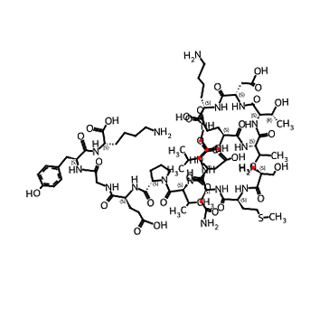 CSCC[C@H](NC(=O)[C@@H](N)CO)C(=O)N[C@@H](CC(N)=O)C(=O)N[C@H](C(=O)N[C@@H](CCC(=O)O)C(=O)N[C@H](C(=O)N[C@H](C(=O)N[C@@H](CC(=O)O)C(=O)N[C@@H](CCCCN)C(=O)NCC(=O)N[C@@H](CC(=O)O)C(=O)N[C@H](C(=O)N1CCC[C@H]1C(=O)N[C@@H](CCC(=O)O)C(=O)NCC(=O)N[C@@H](Cc1ccc(O)cc1)C(=O)N[C@@H](CCCCN)C(=O)O)C(C)C)[C@@H](C)O)C(C)C)C(C)C